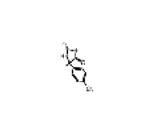 CC1(c2ccc(C#N)cc2)NC(=O)[N]C1=O